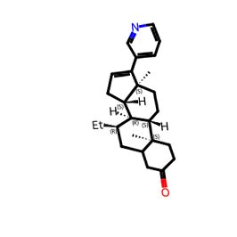 CC[C@@H]1CC2CC(=O)CC[C@]2(C)[C@H]2CC[C@]3(C)C(c4cccnc4)=CC[C@H]3[C@H]12